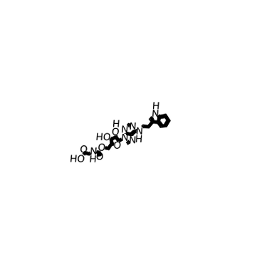 O=C(O)CNC(=O)OCC1OC(n2cnc3c(NCCc4c[nH]c5ccccc45)ncnc32)C(O)C1O